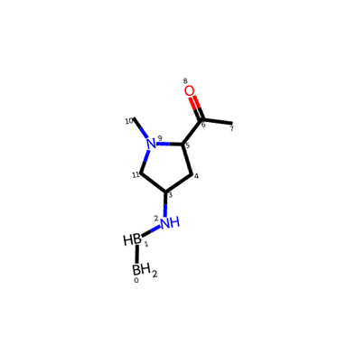 BBNC1CC(C(C)=O)N(C)C1